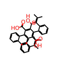 CC(C)=C(C)c1ccccc1-c1c(C(=O)O)c(C(=O)O)c(-c2ccccc2C(C)=C(C)C)c(-c2ccccc2C(C)=C(C)C)c1C(=O)O